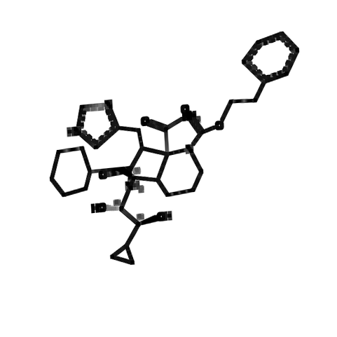 NC(=O)C(Cc1c[nH]cn1)C1(C(N)=O)C([C@H](CC2CCCCC2)[C@@H](O)[C@@H](O)C2CC2)CCCN1C(=O)OCCc1ccccc1